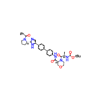 CC(C)C(=O)N1CCC[C@H]1c1ncc(-c2ccc(-c3ccc(NC(=O)[C@@H]4COCCN4C(=O)[C@@H](C)NC(=O)OC(C)(C)C)cc3)cc2)[nH]1